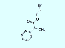 CC(C(=O)OCCBr)c1ccccc1